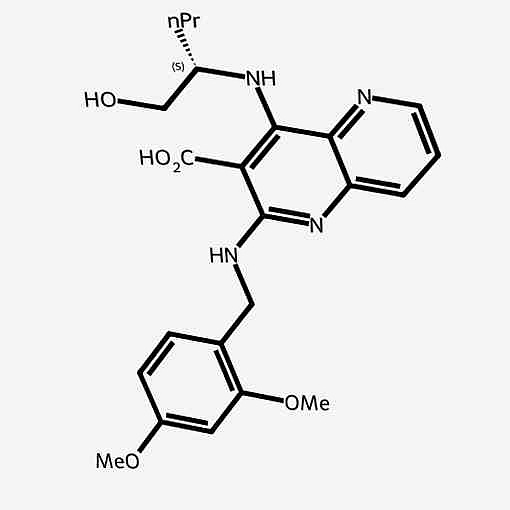 CCC[C@@H](CO)Nc1c(C(=O)O)c(NCc2ccc(OC)cc2OC)nc2cccnc12